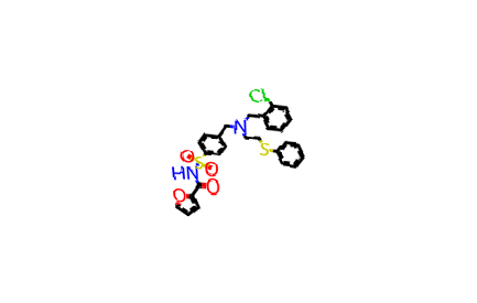 O=C(NS(=O)(=O)c1ccc(CN(CCSc2ccccc2)Cc2ccccc2Cl)cc1)c1ccco1